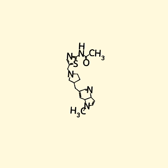 CC(=O)Nc1ncc(CN2CCC(CC3=CC4C(C=CN4C)N=C3)C2)s1